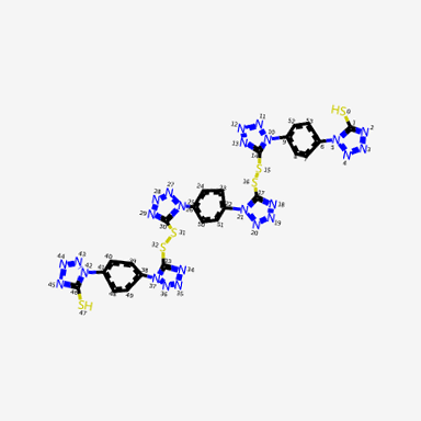 Sc1nnnn1-c1ccc(-n2nnnc2SSc2nnnn2-c2ccc(-n3nnnc3SSc3nnnn3-c3ccc(-n4nnnc4S)cc3)cc2)cc1